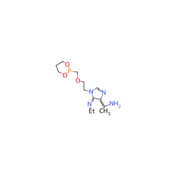 CC/N=C1\C(=C(/C)N)N=CN1CCOCP1OCCCO1